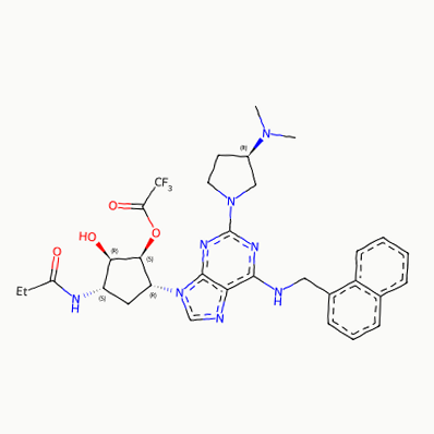 CCC(=O)N[C@H]1C[C@@H](n2cnc3c(NCc4cccc5ccccc45)nc(N4CC[C@@H](N(C)C)C4)nc32)[C@H](OC(=O)C(F)(F)F)[C@@H]1O